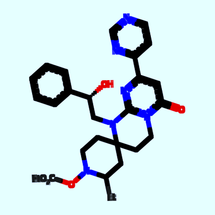 CCOC(=O)ON1CCC2(CCn3c(nc(-c4ccncn4)cc3=O)N2C[C@@H](O)c2ccccc2)CC1CC